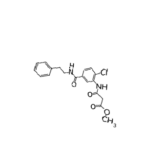 COC(=O)CC(=O)Nc1cc(C(=O)NCCc2ccccc2)ccc1Cl